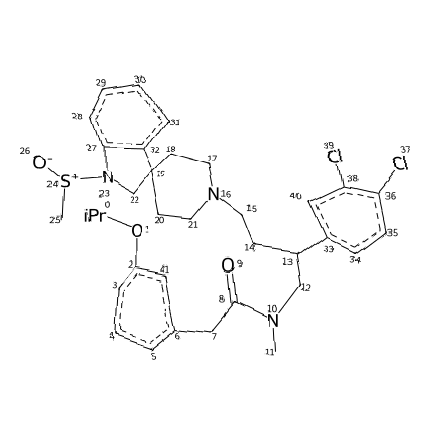 CC(C)Oc1cccc(CC(=O)N(C)CC(CCN2CCC3(CC2)CN([S+](C)[O-])c2ccccc23)c2ccc(Cl)c(Cl)c2)c1